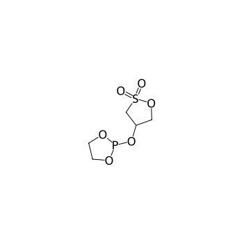 O=S1(=O)CC(OP2OCCO2)CO1